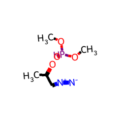 CC(=O)C=[N+]=[N-].CO[PH](=O)OC